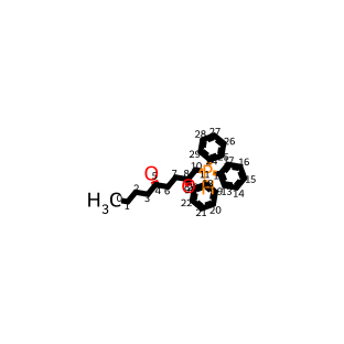 CCCCC(=O)CCC(=O)C[PH](c1ccccc1)(c1ccccc1)c1ccccc1